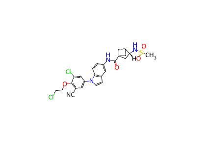 CS(=O)(=O)N[C@@H]1CC2(C(=O)Nc3ccc4c(ccn4-c4cc(Cl)c(OCCCl)c(C#N)c4)c3)CC1C2